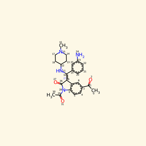 CC(=O)c1ccc2c(c1)/C(=C(/NC1CCN(C)CC1)c1cccc(N)c1)C(=O)N2C(C)=O